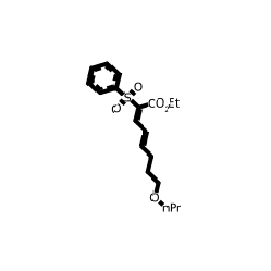 CCCOCCCC=CC=C(C(=O)OCC)S(=O)(=O)c1ccccc1